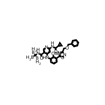 BC(B)(B)NC(=O)c1cnc(NC(=O)C2CC2)cc1Nc1cccc(-c2nc(COCc3ccccc3)no2)c1OC